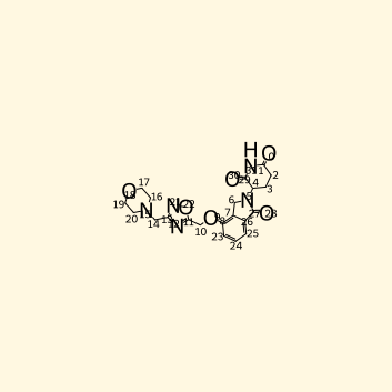 O=C1CCC(N2Cc3c(OCc4nc(CN5CCOCC5)no4)cccc3C2=O)C(=O)N1